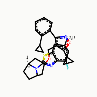 O=C(O)c1cc(F)c2nc(N3C4CC[C@H]3CC(OCc3c(-c5ccccc5C5CC5)noc3C3CC3)C4)sc2c1